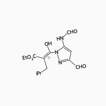 CCOC(=O)/C(CC(C)C)=C(\O)n1nc(C=O)cc1NC=O